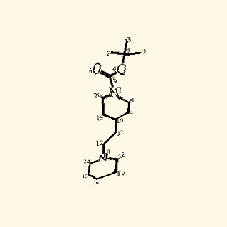 CC(C)(C)OC(=O)N1CCC(CCN2CCCCC2)CC1